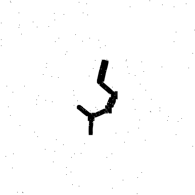 C=C/N=N\N(C)C